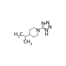 CC(C)C1CCN(c2nnn[nH]2)CC1